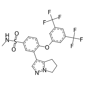 CNS(=O)(=O)c1ccc(Oc2cc(C(F)(F)F)cc(C(F)(F)F)c2)c(-c2cnn3c2CCC3)c1